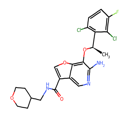 C[C@@H](Oc1c(N)ncc2c(C(=O)NCC3CCOCC3)coc12)c1c(Cl)ccc(F)c1Cl